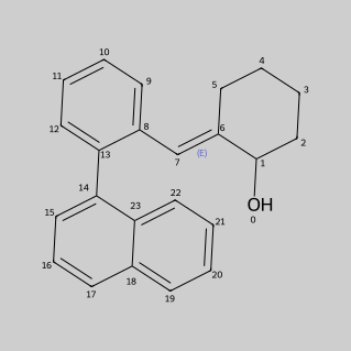 OC1CCCC/C1=C\c1ccccc1-c1cccc2ccccc12